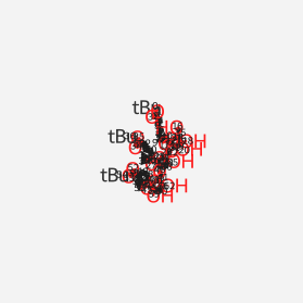 CC(C)(C)OC(=O)/C=C/CCC(C)(C)O[C@@H]1O[C@H](CO)[C@@H](O)[C@H](O)[C@H]1OC[C@@H]1O[C@@H](OC2(CC/C=C/C(=O)OC(C)(C)C)CC2)[C@H](OC[C@@H]2O[C@@H](OC3(CC/C=C/C(=O)OC(C)(C)C)CCC3)[C@H](O)C[C@H]2O)C[C@H]1O